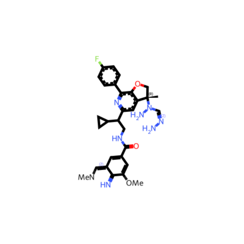 CN/C=C1/C=C(C(=O)NCC(c2cc3c(c(-c4ccc(F)cc4)n2)OC[C@]3(C)N(N)/C=N\N)C2CC2)C=C(OC)C1=N